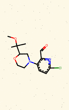 COC(C)(C)C1CN(c2ccc(Cl)nc2C=O)CCO1